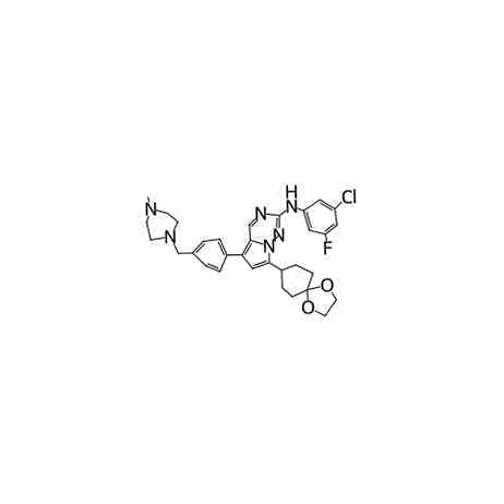 CN1CCN(Cc2ccc(-c3cc(C4CCC5(CC4)OCCO5)n4nc(Nc5cc(F)cc(Cl)c5)ncc34)cc2)CC1